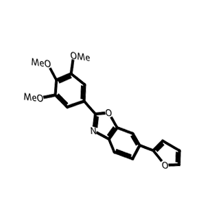 COc1cc(-c2nc3ccc(-c4ccco4)cc3o2)cc(OC)c1OC